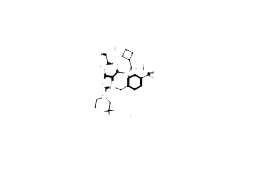 C[C@@H](Nc1nc(C(=O)O)nc2nc(N3CCOC(C)(C)C3)n(Cc3ccc(C(F)(F)F)cc3)c12)C1CCC1